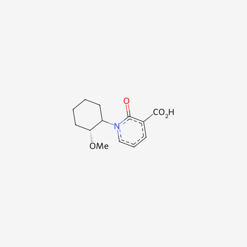 CO[C@@H]1CCCCC1n1cccc(C(=O)O)c1=O